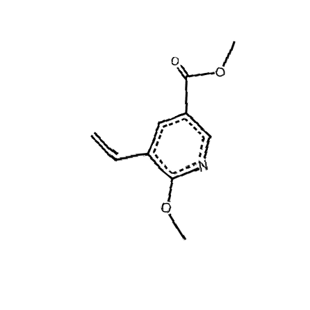 C=Cc1cc(C(=O)OC)cnc1OC